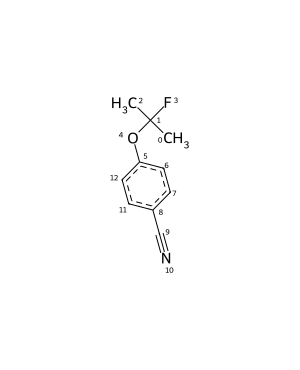 CC(C)(F)Oc1ccc(C#N)cc1